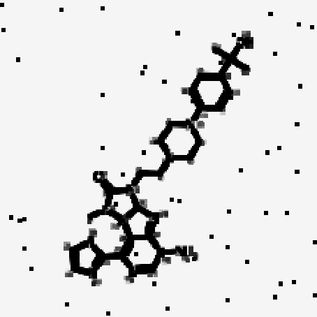 CN1C(=O)N(CCN2CCN(c3ccc(C(C)(C)O)cc3)CC2)C2N=C3C(=C(c4nccs4)N=CN3N)N21